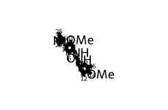 COc1cc(NC(=O)NCc2cc(C)c(OC)c(C)c2)ccc1-n1cnc(C)c1